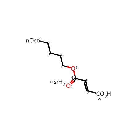 CCCCCCCCCCCCOC(=O)C=CC(=O)O.[SrH2]